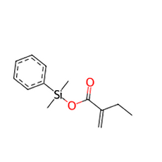 C=C(CC)C(=O)O[Si](C)(C)c1ccccc1